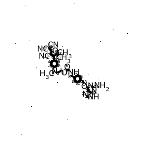 CN(CCOC(=O)NCc1ccc(COc2nc(N)nc3[nH]cnc23)cc1)c1ccc(C2=C(C#N)C(=C(C#N)C#N)OC2(C)C)cc1